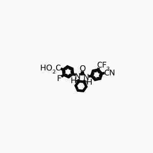 N#Cc1ccc(N2C(=O)N(c3ccc(C(=O)O)c(F)c3)[C@H]3CCCC[C@@H]32)cc1C(F)(F)F